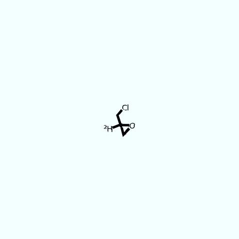 [2H]C1(CCl)CO1